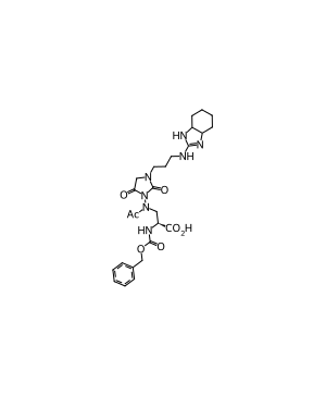 CC(=O)N(C[C@H](NC(=O)OCc1ccccc1)C(=O)O)N1C(=O)CN(CCCNC2=NC3CCCCC3N2)C1=O